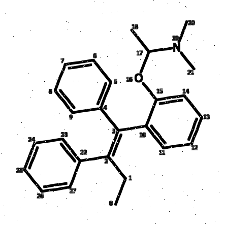 CCC(=C(c1ccccc1)c1ccccc1OC(C)N(C)C)c1ccccc1